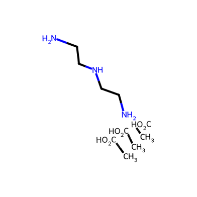 CC(=O)O.CC(=O)O.CC(=O)O.NCCNCCN